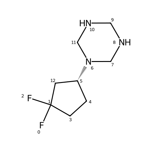 FC1(F)CC[C@@H](N2CNCNC2)C1